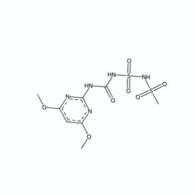 COc1cc(OC)nc(NC(=O)NS(=O)(=O)NS(C)(=O)=O)n1